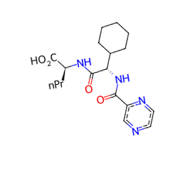 CCC[C@H](NC(=O)[C@@H](NC(=O)c1cnccn1)C1CCCCC1)C(=O)O